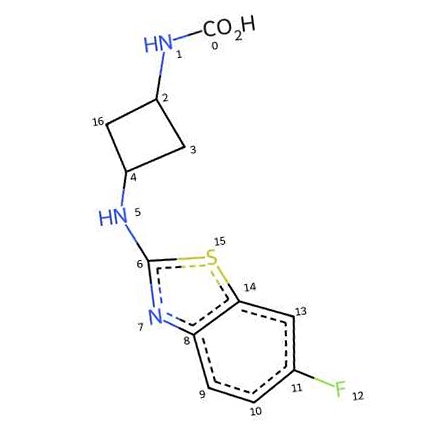 O=C(O)NC1CC(Nc2nc3ccc(F)cc3s2)C1